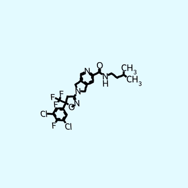 CC(C)CCNC(=O)c1cc2c(cn1)CN(C1=NOC(c3cc(Cl)c(F)c(Cl)c3)(C(F)(F)F)C1)C2